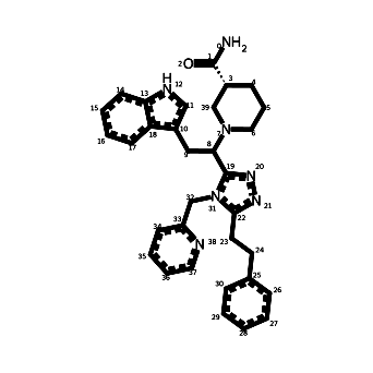 NC(=O)[C@@H]1CCCN(C(Cc2c[nH]c3ccccc23)c2nnc(CCc3ccccc3)n2Cc2ccccn2)C1